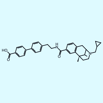 CC1C2Cc3ccc(C(=O)NCCc4ccc(-c5ccc(C(=O)O)cc5)cc4)cc3[C@@]1(C)CCN2CC1CC1